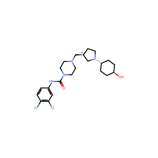 O=C(Nc1ccc(Cl)c(Cl)c1)N1CCN(C[C@H]2CCN([C@H]3CC[C@H](O)CC3)C2)CC1